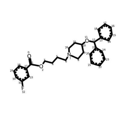 O=C(OCCCCN1CCC(OC(c2ccccc2)c2ccccc2)CC1)c1cccc(F)c1